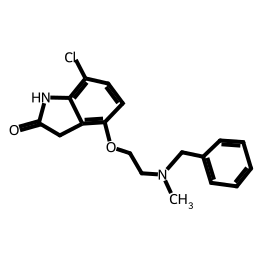 CN(CCOc1ccc(Cl)c2c1CC(=O)N2)Cc1ccccc1